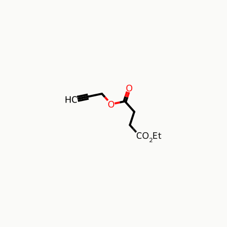 C#CCOC(=O)CCC(=O)OCC